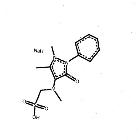 Cc1c(N(C)CS(=O)(=O)O)c(=O)n(-c2ccccc2)n1C.[NaH]